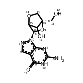 Nc1nc2c(cnn2[C@@H]2O[C@]3(CO)COC2C3O)c(=O)[nH]1